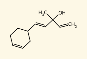 C=CC(C)(O)/C=C/C1CC=CCC1